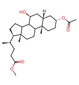 COC(=O)CC[C@@H](C)[C@H]1CCC2C3C(CC[C@@]21C)[C@@]1(C)CC[C@@H](OC(C)=O)C[C@H]1C[C@@H]3O